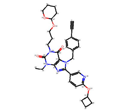 C#Cc1ccc(Cn2c(-c3ccc(OC4CCC4)nc3)nc3c2c(=O)n(CCCOC2CCCCO2)c(=O)n3CC)cc1